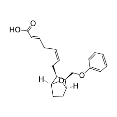 O=C(O)/C=C/C/C=C\C[C@H]1[C@@H](COc2ccccc2)[C@H]2CC[C@@H]1O2